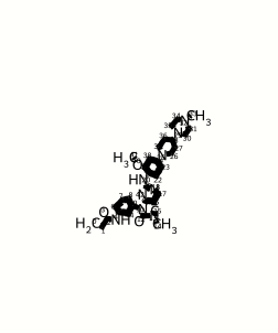 C=CC(=O)Nc1cccc(N2C(=O)N(C)Cc3cnc(Nc4ccc(N5CCC(N6CCN(C)CC6)CC5)cc4OC)nc32)c1